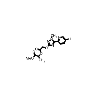 COC(=O)C(C)OC(=O)COc1nc(-c2ccc(Cl)cn2)n(C)n1